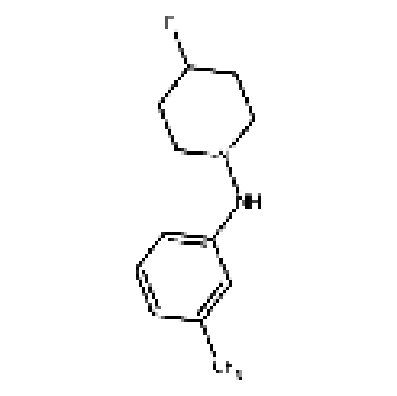 FC1CCN(Nc2cccc(C(F)(F)F)c2)CC1